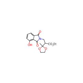 CCOC(=O)C(CN1C(=O)c2cccc(O)c2C1=O)C1(C)OCCO1